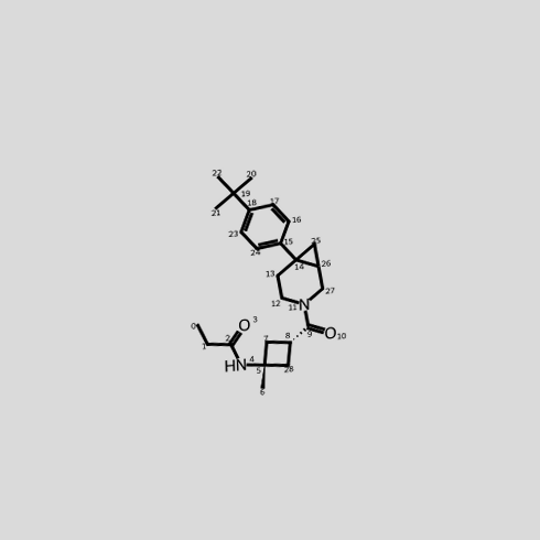 CCC(=O)N[C@]1(C)C[C@H](C(=O)N2CCC3(c4ccc(C(C)(C)C)cc4)CC3C2)C1